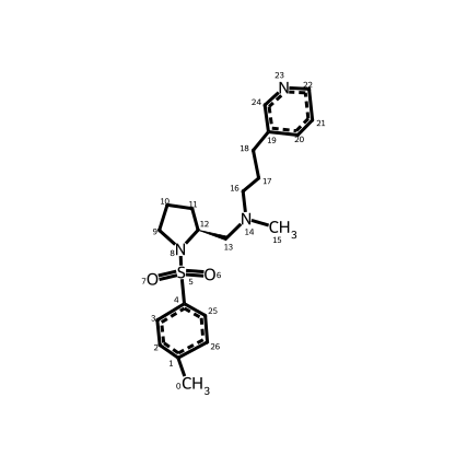 Cc1ccc(S(=O)(=O)N2CCC[C@H]2CN(C)CCCc2cccnc2)cc1